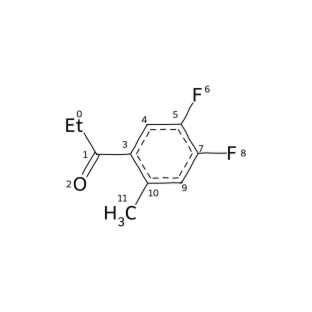 CCC(=O)c1cc(F)c(F)cc1C